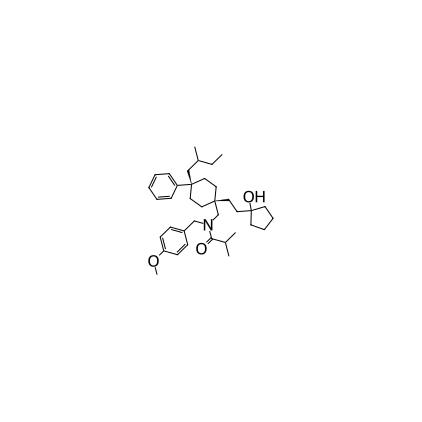 CCC(C)C[C@]1(c2ccccc2)CC[C@@](CCC2(O)CCCC2)(CN(Cc2ccc(OC)cc2)C(=O)C(C)C)CC1